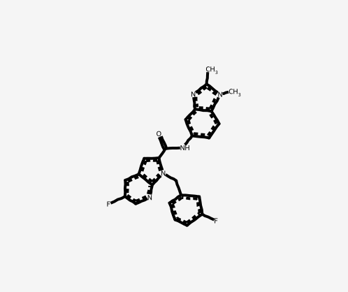 Cc1nc2cc(NC(=O)c3cc4cc(F)cnc4n3Cc3cccc(F)c3)ccc2n1C